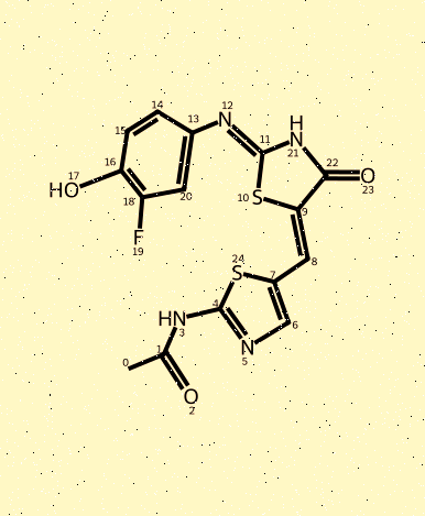 CC(=O)Nc1ncc(C=C2SC(=Nc3ccc(O)c(F)c3)NC2=O)s1